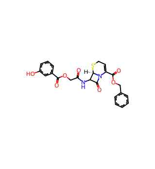 O=C(COC(=O)c1cccc(O)c1)NC1C(=O)N2C(C(=O)OCc3ccccc3)=CCS[C@H]12